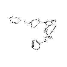 c1ccc(CCNc2ccc3[nH]cc(C4CCN(CCc5ccccc5)CC4)c3n2)cc1